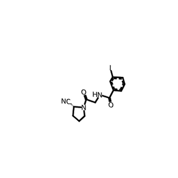 N#C[C@H]1CCCN1C(=O)CNC(=O)c1cccc(I)c1